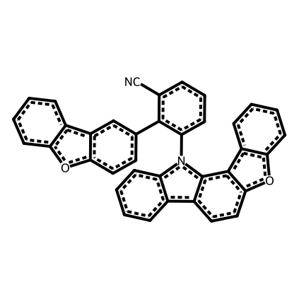 N#Cc1cccc(-n2c3ccccc3c3ccc4oc5ccccc5c4c32)c1-c1ccc2oc3ccccc3c2c1